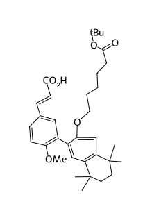 COc1ccc(C=CC(=O)O)cc1-c1cc2c(cc1OCCCCCC(=O)OC(C)(C)C)C(C)(C)CCC2(C)C